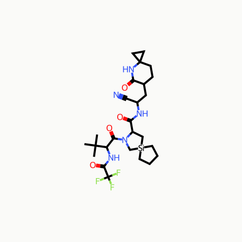 CC(C)(C)C(NC(=O)C(F)(F)F)C(=O)N1C[Si]2(CCCC2)CC1C(=O)NC(C#N)CC1CCC2(CC2)NC1=O